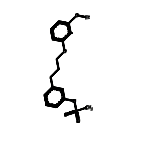 CCOc1[c]c(OCCCc2cccc(OS(C)(=O)=O)c2)ccc1